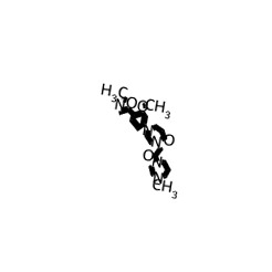 COc1cc(N2CCC(=O)N(CC(=O)N3CCCN(C)CC3)CC2)ccc1-c1cnc(C)o1